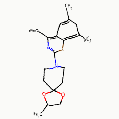 COC1=C2C=C(C(F)(F)F)CC([N+](=O)[O-])=C2SC(N2CCC3(CC2)OCC(C)O3)=N1